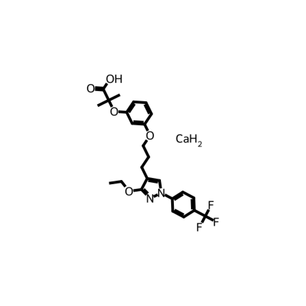 CCOc1nn(-c2ccc(C(F)(F)F)cc2)cc1CCCOc1cccc(OC(C)(C)C(=O)O)c1.[CaH2]